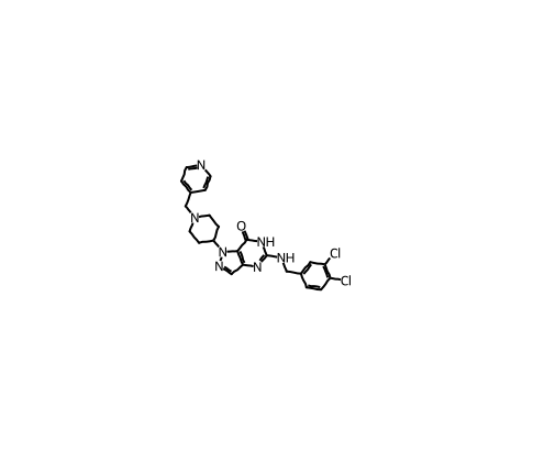 O=c1[nH]c(NCc2ccc(Cl)c(Cl)c2)nc2cnn(C3CCN(Cc4ccncc4)CC3)c12